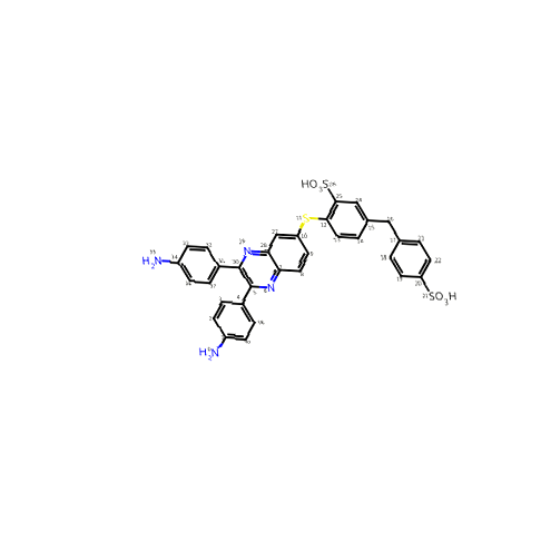 Nc1ccc(-c2nc3ccc(Sc4ccc(Cc5ccc(S(=O)(=O)O)cc5)cc4S(=O)(=O)O)cc3nc2-c2ccc(N)cc2)cc1